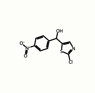 O=[N+]([O-])c1ccc(C(O)c2cnc(Cl)s2)cc1